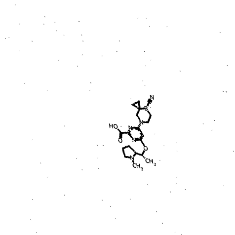 C[C@H](Oc1cc(N2CCB(C#N)C3(CC3)C2)nc(C(=O)O)n1)C1CCCN1C